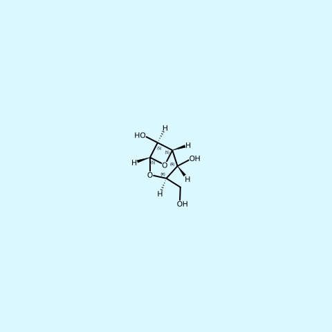 OC[C@H]1O[C@H]2O[C@H]([C@@H]2O)[C@@H]1O